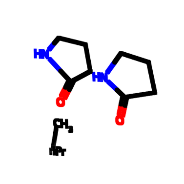 CCCC.O=C1CCCN1.O=C1CCCN1